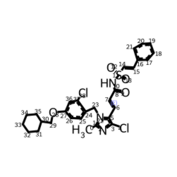 Cc1nc(Cl)c(/C=C/C(=O)NS(=O)(=O)C=Cc2ccccc2)n1Cc1ccc(OCC2CCCCC2)cc1Cl